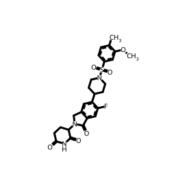 COc1cc(S(=O)(=O)N2CCC(c3cc4c(cc3F)C(=O)N(C3CCC(=O)NC3=O)C4)CC2)ccc1C